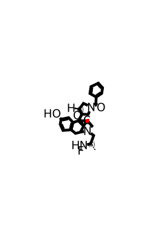 C[C@@H](CN1CCC23c4cc(O)ccc4CC1C21CCC2C3[C@@H](CN2C(=O)c2ccccc2)O1)NF